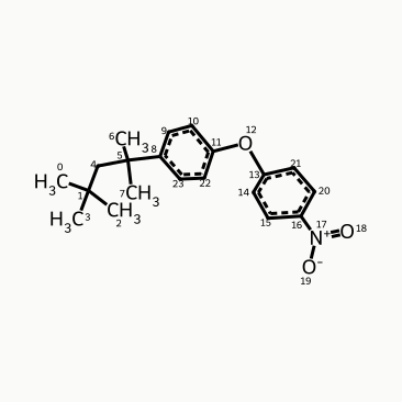 CC(C)(C)CC(C)(C)c1ccc(Oc2ccc([N+](=O)[O-])cc2)cc1